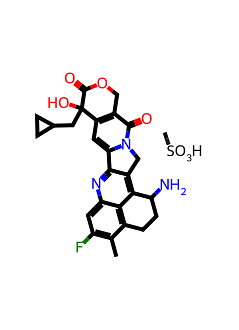 CS(=O)(=O)O.Cc1c(F)cc2nc3c(c4c2c1CCC4N)Cn1c-3cc2c(c1=O)COC(=O)C2(O)CC1CC1